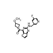 COC1CN(C(=O)c2nc(NCc3cncc(F)c3)nc3ccsc23)C1